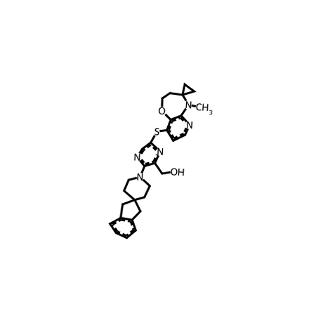 CN1c2nccc(Sc3cnc(N4CCC5(CC4)Cc4ccccc4C5)c(CO)n3)c2OCCC12CC2